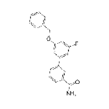 NC(=O)c1cccc(-c2cc(F)cc(OCc3ccccc3)c2)c1